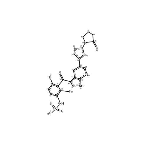 CCCS(=O)(=O)Nc1ccc(F)c(C(=O)c2c[nH]c3ncc(-c4csc(N5CCCC5=O)n4)cc23)c1F